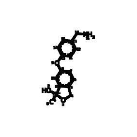 [CH2+][B-]1(O)OCc2ccc(Oc3ccc(CN)cc3)cc21